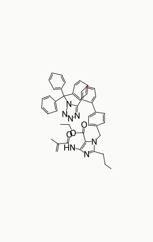 C=C(C)C(=O)Nc1nc(CCC)n(Cc2ccc(-c3ccccc3-c3nnnn3C(c3ccccc3)(c3ccccc3)c3ccccc3)cc2)c1C(=O)OCC